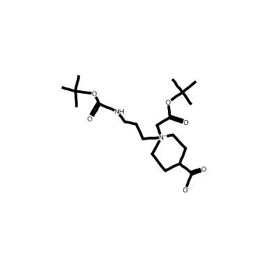 CC(C)(C)OC(=O)C[N+]1(CCCNC(=O)OC(C)(C)C)CCC(C(=O)[O-])CC1